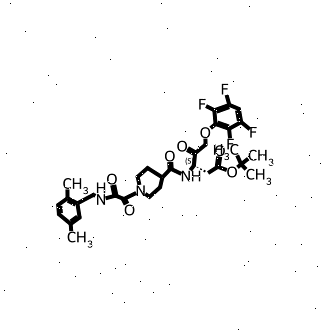 Cc1ccc(C)c(CNC(=O)C(=O)N2CCC(C(=O)N[C@@H](CC(=O)OC(C)(C)C)C(=O)COc3c(F)c(F)cc(F)c3F)CC2)c1